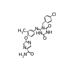 Cc1cc(/N=c2\[nH]c(=O)[nH]c(=O)n2Cc2ccc(Cl)cc2)ccc1Oc1cnc(C(N)=O)cn1